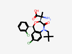 CC(C)(C)CN1C(=O)[C@H](C(C)(N)C(=O)O)O[C@@H](c2ccccc2Cl)c2cc(Cl)ccc21